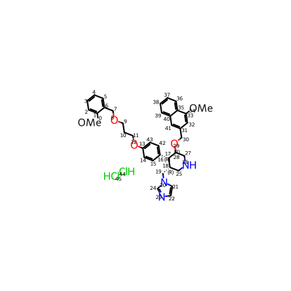 COc1ccccc1COCCCOc1ccc([C@H]2[C@@H](Cn3ccnc3)CNC[C@@H]2OCc2cc(OC)c3ccccc3c2)cc1.Cl.Cl